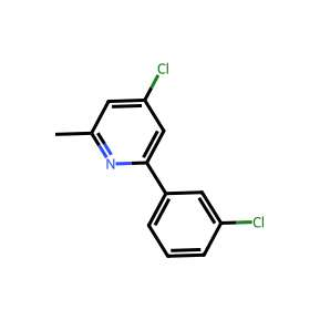 Cc1cc(Cl)cc(-c2cccc(Cl)c2)n1